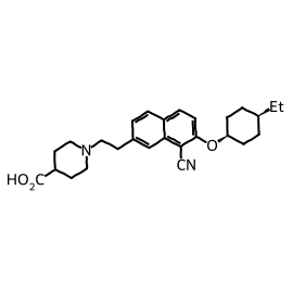 CC[C@H]1CC[C@@H](Oc2ccc3ccc(CCN4CCC(C(=O)O)CC4)cc3c2C#N)CC1